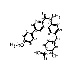 COc1ccc(-c2ccc(C(=O)N(C)c3ccc(CN4CCN(C(=O)O)C(C)C4)cc3)nc2)cc1